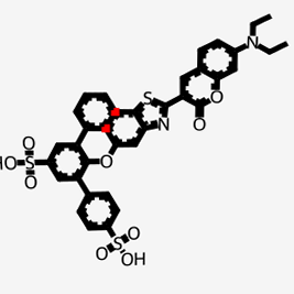 CCN(CC)c1ccc2cc(-c3nc4cc(Oc5c(-c6ccccc6)cc(S(=O)(=O)O)cc5-c5ccc(S(=O)(=O)O)cc5)ccc4s3)c(=O)oc2c1